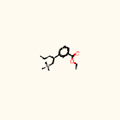 CCCC(C[Si](C)(C)C)c1cccc(C(=O)OCC)c1